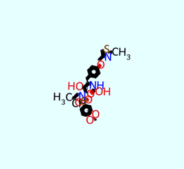 Cc1nc(COc2ccc(C[C@@H](NC(=O)O)[C@H](O)CN(CC(C)C)S(=O)(=O)c3ccc4c(c3)OCO4)cc2)cs1